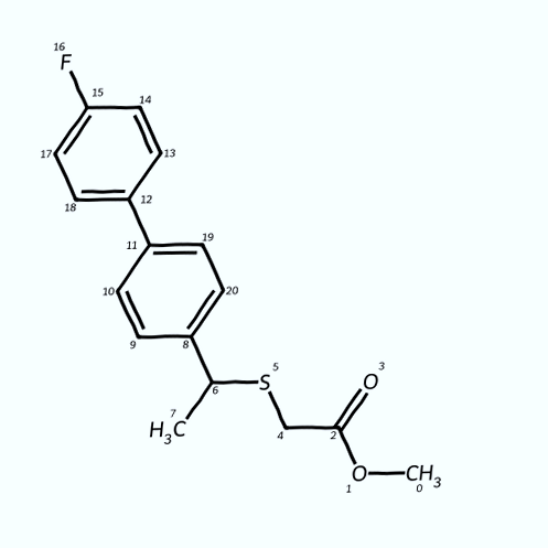 COC(=O)CSC(C)c1ccc(-c2ccc(F)cc2)cc1